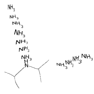 CC(C)NC(C)C.N.N.N.N.N.N.N.N.N.N.N